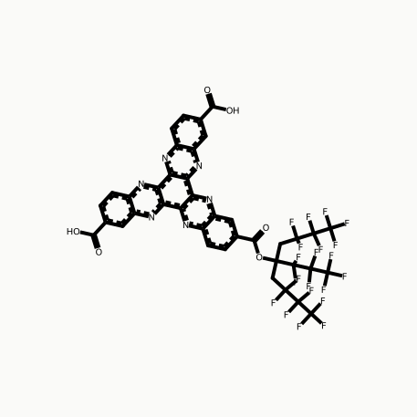 O=C(O)c1ccc2nc3c4nc5ccc(C(=O)O)cc5nc4c4nc5cc(C(=O)OC(CC(F)(F)C(F)(F)C(F)(F)F)(CC(F)(F)C(F)(F)C(F)(F)F)C(F)(F)C(F)(F)C(F)(F)F)ccc5nc4c3nc2c1